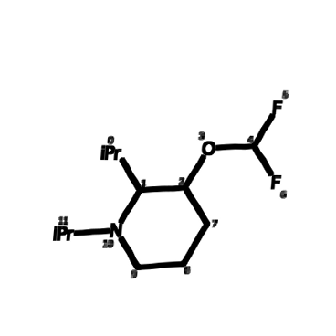 CC(C)C1C(OC(F)F)CCCN1C(C)C